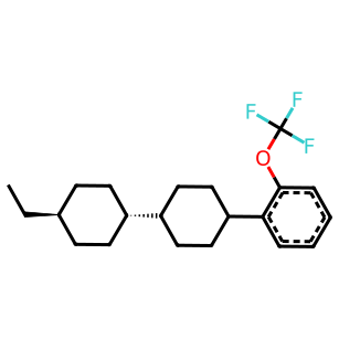 CC[C@H]1CC[C@H](C2CCC(c3ccccc3OC(F)(F)F)CC2)CC1